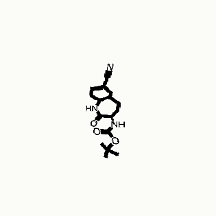 CC(C)(C)OC(=O)N[C@H]1CCC2CC(C#N)=CCC2NC1=O